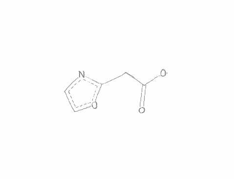 [O]C(=O)Cc1ncco1